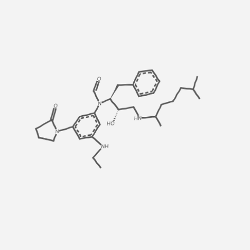 CCNc1cc(N2CCCC2=O)cc(N(C=O)[C@@H](Cc2ccccc2)[C@@H](O)CNC(C)CCCC(C)C)c1